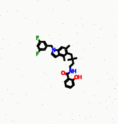 Cc1cc2c(ccn2Cc2cc(F)cc(F)c2)c(C)c1CC(C)(C)CCNC(=O)c1ccccc1O